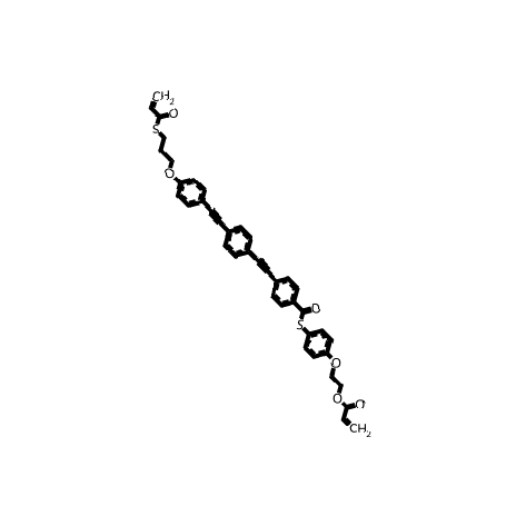 C=CC(=O)OCCOc1ccc(SC(=O)c2ccc(C#Cc3ccc(C#Cc4ccc(OCCCSC(=O)C=C)cc4)cc3)cc2)cc1